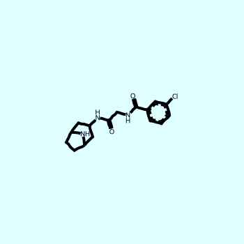 O=C(CNC(=O)c1cccc(Cl)c1)NC1CC2CCC(C1)N2